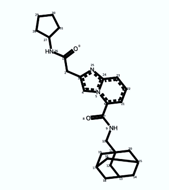 O=C(Cc1cn2c(C(=O)NCC34CC5CC(CC(C5)C3)C4)cccc2n1)NC1CCCC1